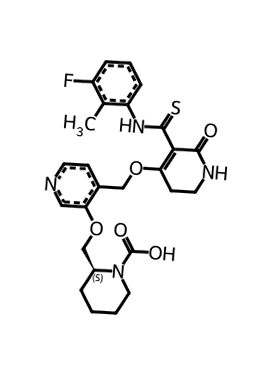 Cc1c(F)cccc1NC(=S)C1=C(OCc2ccncc2OC[C@@H]2CCCCN2C(=O)O)CCNC1=O